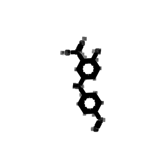 O=Nc1ccc(Nc2ccc(Cl)c([N+](=O)[O-])c2)cc1